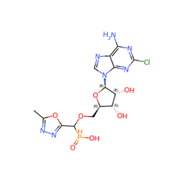 Cc1nnc(C(OC[C@H]2O[C@@H](n3cnc4c(N)nc(Cl)nc43)[C@H](O)[C@@H]2O)[PH](=O)O)o1